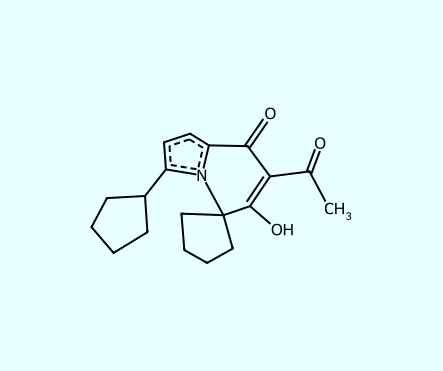 CC(=O)C1=C(O)C2(CCCC2)n2c(ccc2C2CCCC2)C1=O